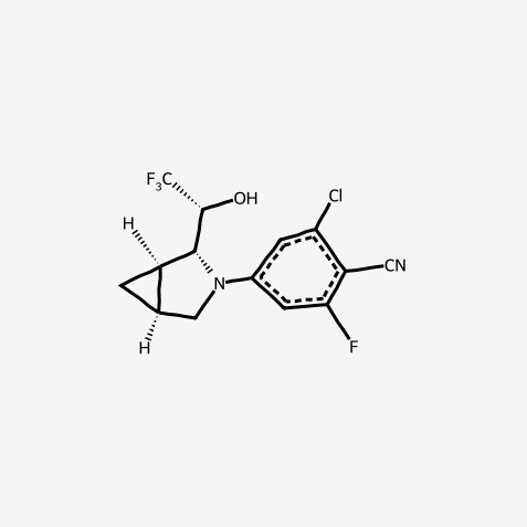 N#Cc1c(F)cc(N2C[C@H]3C[C@H]3[C@@H]2[C@@H](O)C(F)(F)F)cc1Cl